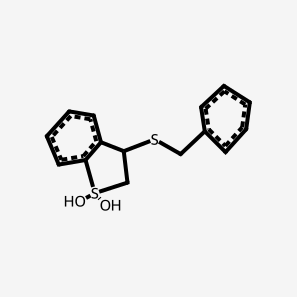 OS1(O)CC(SCc2ccccc2)c2ccccc21